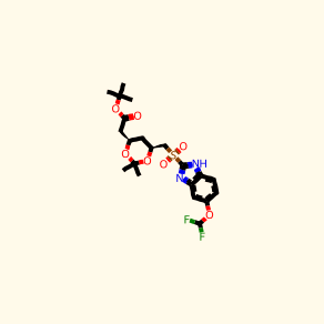 CC(C)(C)OC(=O)C[C@H]1C[C@@H](CS(=O)(=O)c2nc3cc(OC(F)F)ccc3[nH]2)OC(C)(C)O1